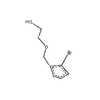 OCCOCc1sccc1Br